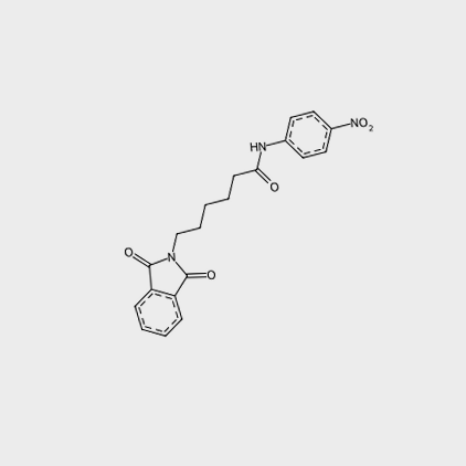 O=C(CCCCCN1C(=O)c2ccccc2C1=O)Nc1ccc([N+](=O)[O-])cc1